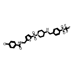 O=C(NCc1ccc(S(=O)(=O)N2CCC(NCc3ccc(S(=O)(=O)C(F)(F)F)cc3)CC2)s1)c1ccc(Cl)cc1